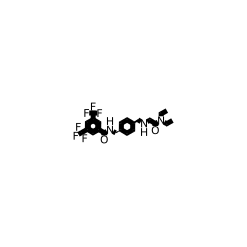 CCN(CC)C(=O)CNC[C@H]1CC[C@H](CNC(=O)c2cc(C(F)(F)F)cc(C(F)(F)F)c2)CC1